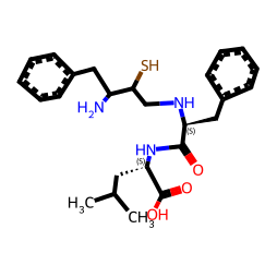 CC(C)C[C@H](NC(=O)[C@H](Cc1ccccc1)NCC(S)C(N)Cc1ccccc1)C(=O)O